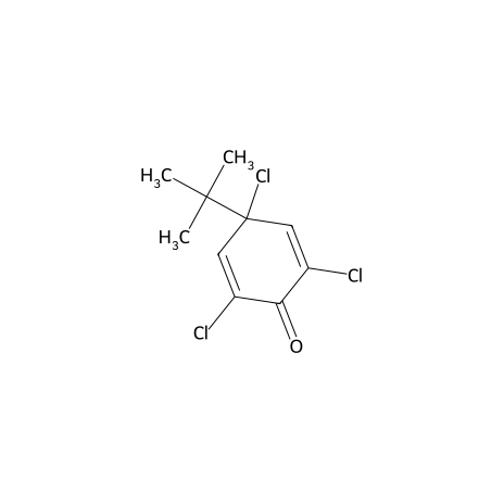 CC(C)(C)C1(Cl)C=C(Cl)C(=O)C(Cl)=C1